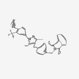 Cc1nn(-c2ccc(C#N)c(C(F)(F)F)c2)c(C)c1Cc1ccc(CN2C(=O)c3ccccc3C2=O)cc1